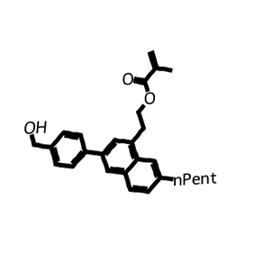 C=C(C)C(=O)OCCc1cc(-c2ccc(CO)cc2)cc2ccc(CCCCC)cc12